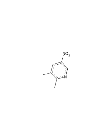 Cc1cc([N+](=O)[O-])cnc1C